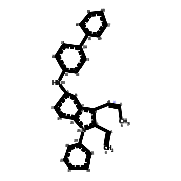 C=Cc1c(/C=C\C)c2cc(Nc3ccc(-c4ccccc4)cc3)ccc2n1-c1ccccc1